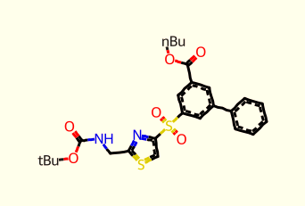 CCCCOC(=O)c1cc(-c2ccccc2)cc(S(=O)(=O)c2csc(CNC(=O)OC(C)(C)C)n2)c1